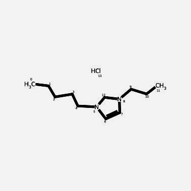 CCCCCN1C=CN(CCC)C1.Cl